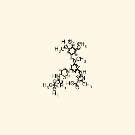 COc1cc(CN(C)c2cc(N3CCC(NC(=O)OC(C)(C)C)CC3)nc(Nc3nc(C)c(C(=O)O)s3)n2)cc(OC)c1OC